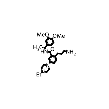 CCN1CCN(c2ccc(CCCN)c(C(=O)N[C@H](C)c3ccc(OC)c(OC)c3)c2)CC1